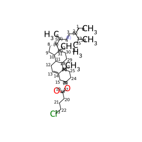 CC[C@H](/C=C/[C@@H](C)[C@H]1CCC2C3CC=C4C[C@@H](OC(=O)CCCCl)CC[C@]4(C)C3CC[C@@]21C)C(C)C